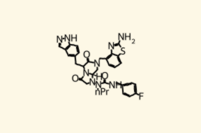 CCCN(C(=O)NCc1ccc(F)cc1)N1CC(=O)N2C(Cc3ccc4[nH]ncc4c3)C(=O)N(Cc3cccc4sc(N)nc34)C[C@@H]21